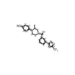 CC1CN(C(=O)c2cccc(-c3noc(C(F)(F)F)n3)c2)CCN1c1ccc(C#N)cn1